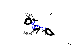 COc1nc(-n2c(C)cc3c(C#N)cccc32)nc(NCc2ccccc2)c1C